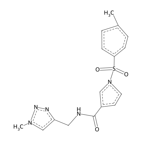 Cc1ccc(S(=O)(=O)n2ccc(C(=O)NCc3cn(C)nn3)c2)cc1